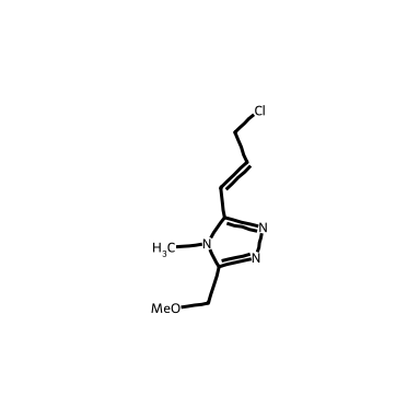 COCc1nnc(/C=C/CCl)n1C